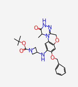 CC1C(=O)NN=C2COc3cc(OCc4ccccc4)c(NC4CN(C(=O)OC(C)(C)C)C4)cc3N21